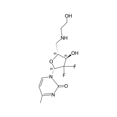 Cc1ccn([C@@H]2O[C@H](CNCCO)[C@@H](O)C2(F)F)c(=O)n1